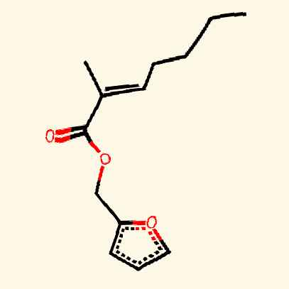 CCCCC=C(C)C(=O)OCc1ccco1